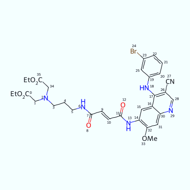 CCOC(=O)CN(CCCNC(=O)C=CC(=O)Nc1cc2c(Nc3cccc(Br)c3)c(C#N)cnc2cc1OC)CC(=O)OCC